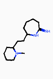 CN1CCCCC1CCC1CCCCC(=N)N1